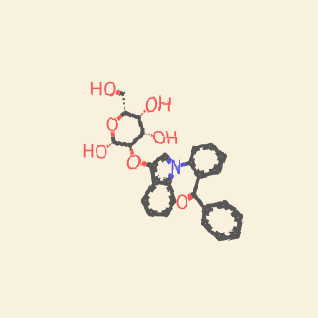 O=C(c1ccccc1)c1ccccc1-n1cc(O[C@@H]2[C@@H](O)[C@@H](O)[C@@H](CO)O[C@H]2O)c2ccccc21